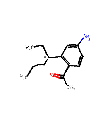 CCC[C@@H](CC)c1cc(N)ccc1C(C)=O